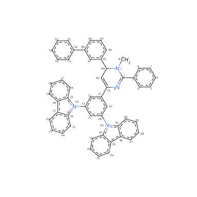 CN1C(c2ccccc2)=NC(c2cc(-n3c4ccccc4c4ccccc43)cc(-n3c4ccccc4c4ccccc43)c2)=CC1c1cccc(-c2ccccc2)c1